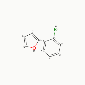 Brc1ccccc1.c1ccoc1